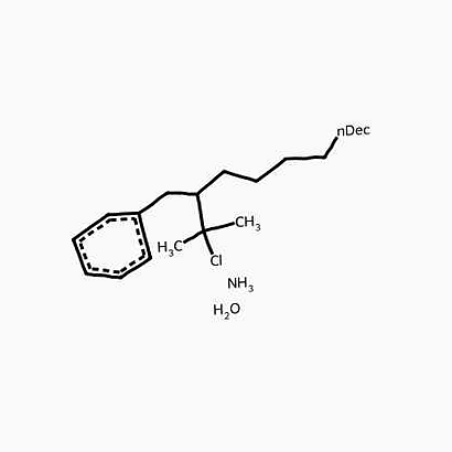 CCCCCCCCCCCCCCC(Cc1ccccc1)C(C)(C)Cl.N.O